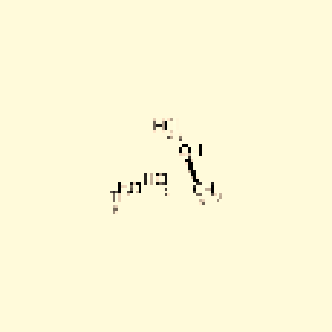 CO.Cl.Cl.Cl.[Ti]